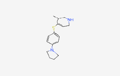 CC1CNCC=C1Sc1ccc(N2CCCC2)cc1